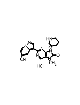 Cl.Cn1c(=O)n([C@@H]2CCCNC2)c2nc(-c3cnn4ccc(C#N)cc34)ncc21